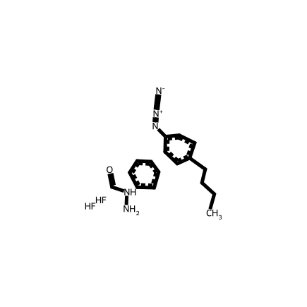 CCCCc1ccc(N=[N+]=[N-])cc1.F.F.NNC=O.c1ccccc1